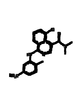 Cc1ccc(C(=O)O)cc1Nc1ncc(C(=O)N(C)C)c2c(Cl)cccc12